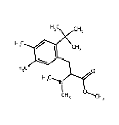 COC(=O)C(Cc1cc(C)c(C)cc1C(C)(C)C)N(C)C